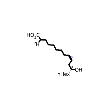 [2H]C(CCCCCC/C=C\C[C@H](O)CCCCCC)C(=O)O